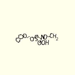 C=CCON=C(C(=O)O)c1ccc(OCCOc2ccc3ccccc3c2)s1